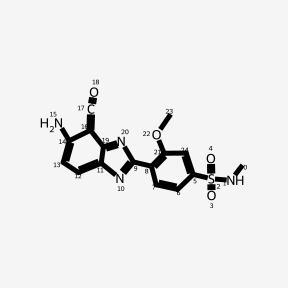 CNS(=O)(=O)c1ccc(C2=Nc3ccc(N)c(=C=O)c3=N2)c(OC)c1